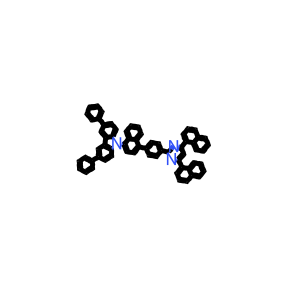 c1ccc(-c2ccc3c(c2)c2cc(-c4ccccc4)ccc2n3-c2ccc(-c3ccc(-c4nc(-c5cccc6ccccc56)cc(-c5cccc6ccccc56)n4)cc3)c3ccccc23)cc1